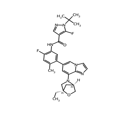 CC[C@]12C[C@H](CO1)N(c1cc(-c3cc(NC(=O)c4cnn(C(C)(C)C)c4F)c(F)cc3C)cn3ccnc13)C2